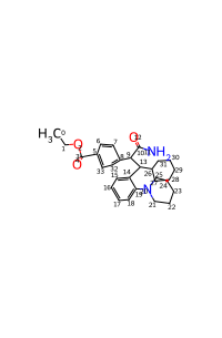 CCOC(=O)c1ccc(C(C(N)=O)C(c2ccccc2N2CCCCC2)C2CCCCC2)cc1